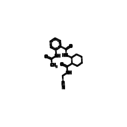 CC(=O)Nc1ccccc1C(=O)NC1CCCCC1C(=O)NCC#N